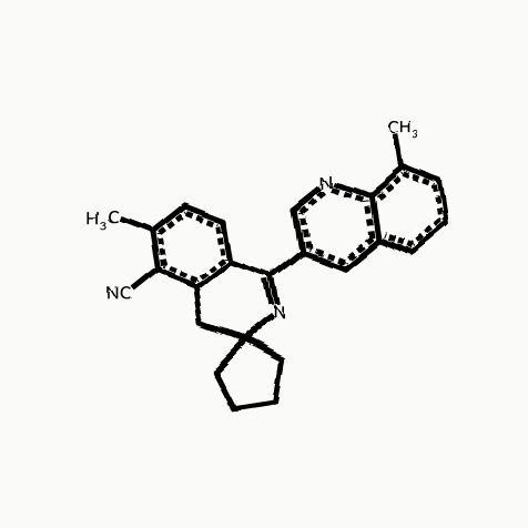 Cc1ccc2c(c1C#N)CC1(CCCC1)N=C2c1cnc2c(C)cccc2c1